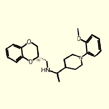 COc1ccccc1N1CCC(C(C)NC[C@H]2COc3ccccc3O2)CC1